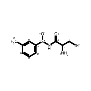 CC(C)CC(N)C(=O)N[S+]([O-])c1cccc(C(F)(F)F)c1